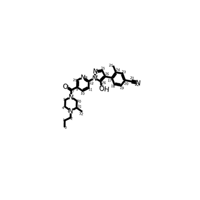 CCCN1CCN(C(=O)c2ccc(-n3ncc(-c4ccc(C#N)cc4C)c3O)nc2)CC1C